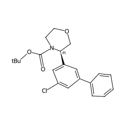 CC(C)(C)OC(=O)N1CCOC[C@H]1c1cc(Cl)cc(-c2ccccc2)c1